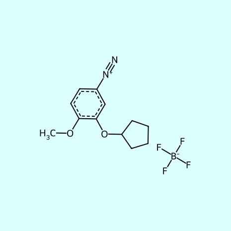 COc1ccc([N+]#N)cc1OC1CCCC1.F[B-](F)(F)F